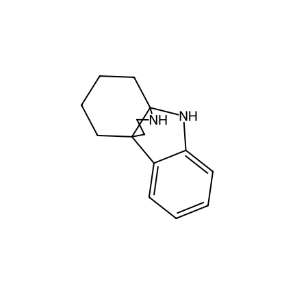 c1ccc2c(c1)NC13CCCCC21CCN3